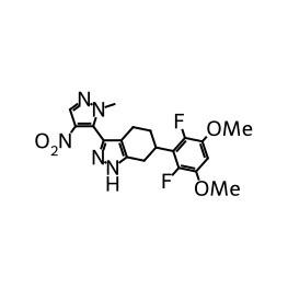 COc1cc(OC)c(F)c(C2CCc3c(-c4c([N+](=O)[O-])cnn4C)n[nH]c3C2)c1F